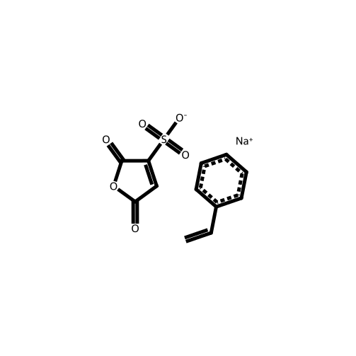 C=Cc1ccccc1.O=C1C=C(S(=O)(=O)[O-])C(=O)O1.[Na+]